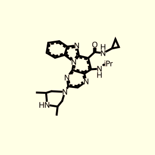 CC(C)Nc1c(C(=O)NC2CC2)c2nc3ccccc3n2c2nc(N3CC(C)NC(C)C3)cnc12